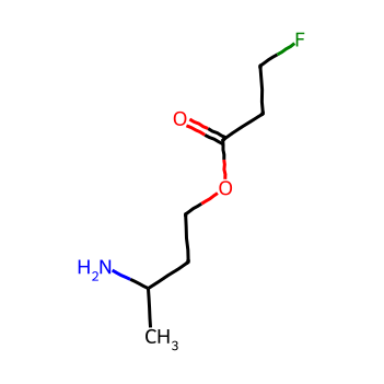 CC(N)CCOC(=O)CCF